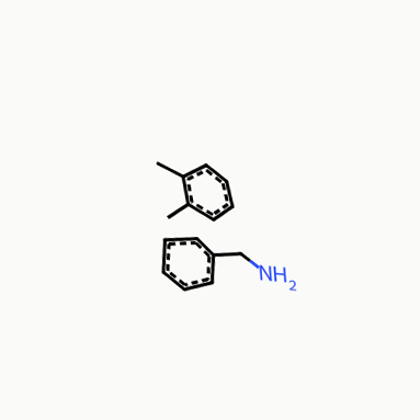 Cc1ccccc1C.NCc1ccccc1